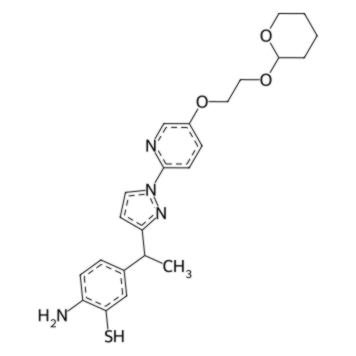 CC(c1ccc(N)c(S)c1)c1ccn(-c2ccc(OCCOC3CCCCO3)cn2)n1